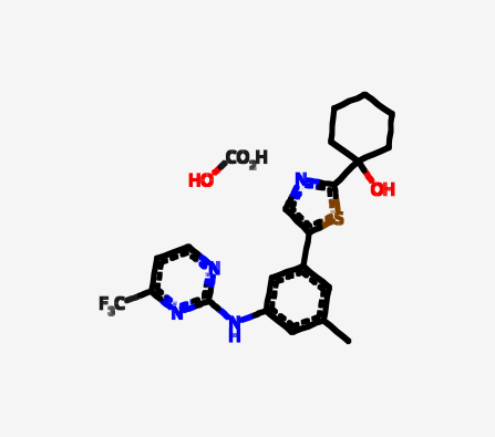 Cc1cc(Nc2nccc(C(F)(F)F)n2)cc(-c2cnc(C3(O)CCCCC3)s2)c1.O=C(O)O